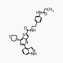 CCC(=O)Nc1ccc(CCNC(=O)c2cc3nc(-c4cccc5[nH]ncc45)nc(N4CCOCC4)c3s2)cc1